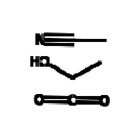 CC#N.CCO.O=C=O